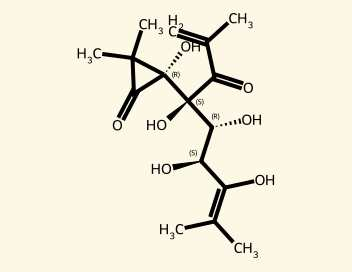 C=C(C)C(=O)[C@](O)([C@H](O)[C@H](O)C(O)=C(C)C)[C@@]1(O)C(=O)C1(C)C